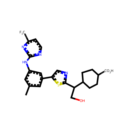 Cc1cc(Nc2nccc(C(F)(F)F)n2)cc(-c2cnc(C(CO)C3CCC(C(=O)O)CC3)s2)c1